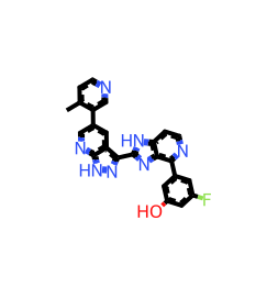 Cc1ccncc1-c1cnc2[nH]nc(-c3nc4c(-c5cc(O)cc(F)c5)nccc4[nH]3)c2c1